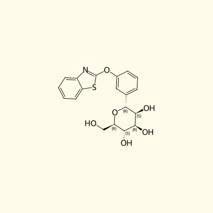 OC[C@H]1O[C@H](c2cccc(Oc3nc4ccccc4s3)c2)[C@@H](O)[C@@H](O)[C@@H]1O